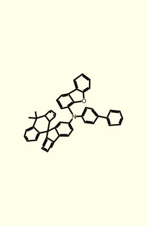 CC1(C)c2ccccc2C2(c3ccccc3-c3ccc(N(c4ccc(-c5ccccc5)cc4)c4cccc5c4oc4ccccc45)cc32)C2C=CC=CC21